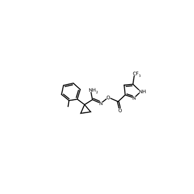 Cc1ccccc1C1(C(N)=NOC(=O)c2cc(C(F)(F)F)[nH]n2)CC1